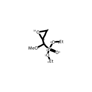 CCOP(=O)(OCC)C(OC)C1CO1